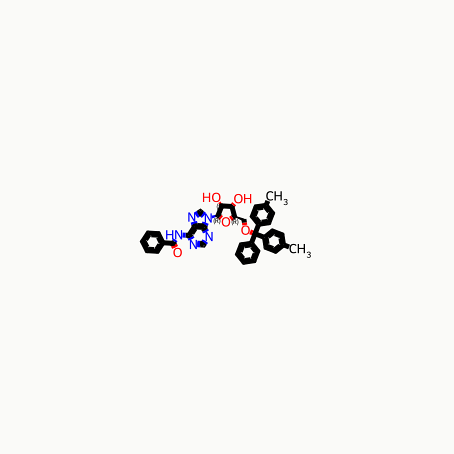 Cc1ccc(C(OC[C@H]2O[C@@H](n3cnc4c(NC(=O)c5ccccc5)ncnc43)[C@@H](O)C2O)(c2ccccc2)c2ccc(C)cc2)cc1